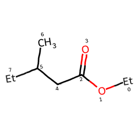 CCOC(=O)[CH]C(C)CC